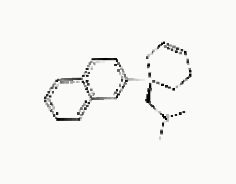 CN(C)C[C@@]1(c2ccc3ccccc3c2)CC=CCC1